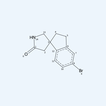 O=C1CC2(CCc3cc(Br)ccc32)CN1